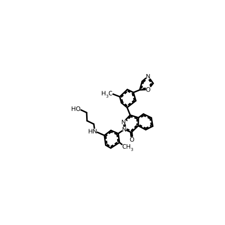 Cc1cc(-c2cnco2)cc(-c2nn(-c3cc(NCCCO)ccc3C)c(=O)c3ccccc23)c1